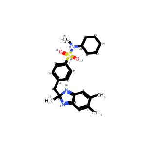 Cc1cc2c(cc1C)=NC(C)(Cc1ccc(S(=O)(=O)N(C)C3CCCCC3)cc1)N=2